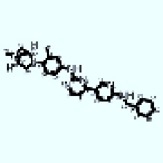 Cc1cc(Nc2nccc(-c3ccc(NCc4ccccc4)nc3)n2)ccc1N1C[C@@H]2C[C@H]1CN2C